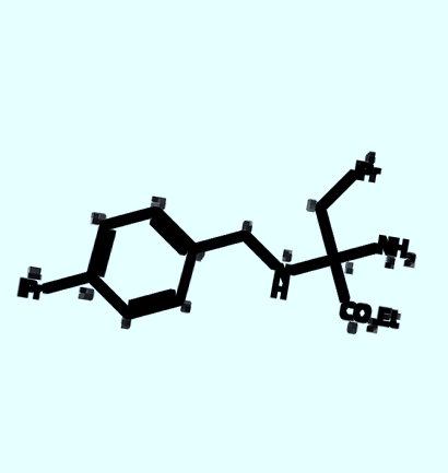 CCOC(=O)C(N)(CC(C)C)NCc1ccc(C(C)C)cc1